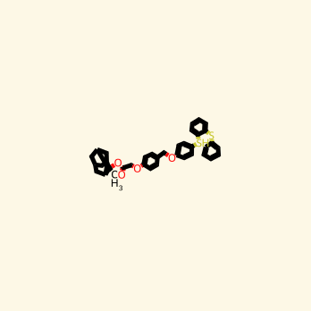 CC1(OC(=O)COc2ccc(COc3ccc([SH]4c5ccccc5Sc5ccccc54)cc3)cc2)C2CC3CC(C2)CC1C3